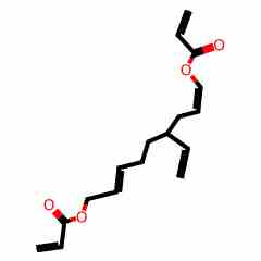 C=CC(=O)O/C=C\CC(C=C)CC/C=C/COC(=O)C=C